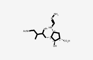 CCCC(C[C@H]1[C@H](O)[C@@H](C(=O)O)C[C@H]1NC=NN)C(C)CNC(C)=O